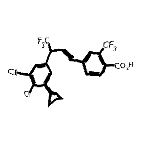 O=C(O)c1ccc(C=CC(c2cc(Cl)c(Cl)c(C3CC3)c2)C(F)(F)F)cc1C(F)(F)F